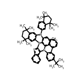 Cc1cc2c3c(c1)N(c1ccc(C(C)(C)C)cc1-c1ccccc1)c1c(sc4ccccc14)B3c1cc3c(cc1N2c1ccc2c(c1)C(C)(C)CCC2(C)C)C(C)(C)CCC3(C)C